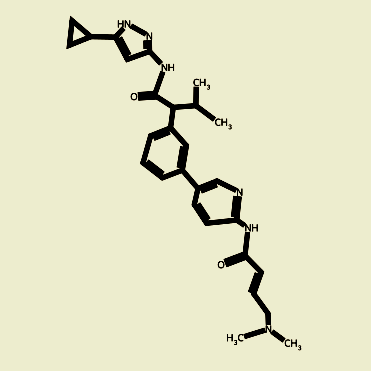 CC(C)C(C(=O)Nc1cc(C2CC2)[nH]n1)c1cccc(-c2ccc(NC(=O)/C=C/CN(C)C)nc2)c1